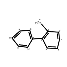 CCCc1[c]cccc1-c1ccccc1